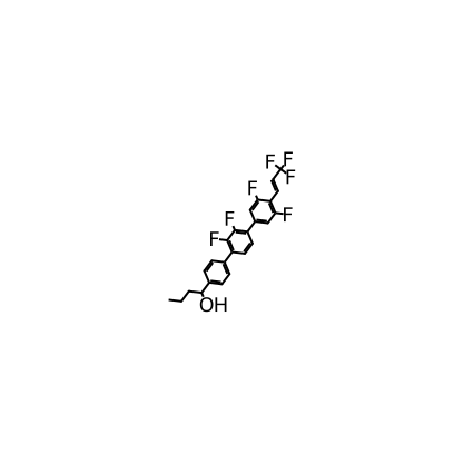 CCCC(O)c1ccc(-c2ccc(-c3cc(F)c(/C=C/C(F)(F)F)c(F)c3)c(F)c2F)cc1